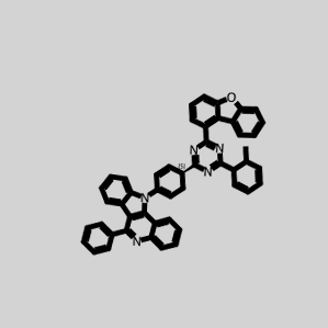 CC1C=CC=CC1c1nc(-c2cccc3oc4ccccc4c23)nc([C@@H]2C=CC(n3c4ccccc4c4c(-c5ccccc5)nc5ccccc5c43)=CC2)n1